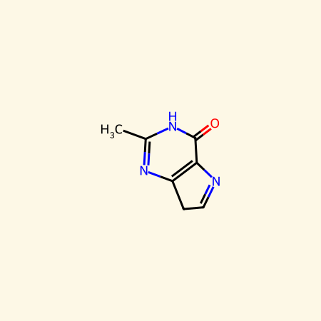 Cc1nc2c(c(=O)[nH]1)N=CC2